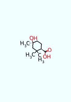 CC1(C)C[C@@](C)(O)CC[C@H]1C(=O)O